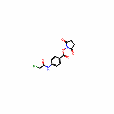 O=C(CBr)Nc1ccc(C(=O)ON2C(=O)CCC2=O)cc1